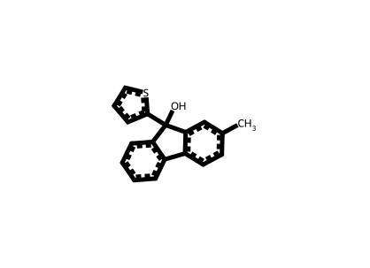 Cc1ccc2c(c1)C(O)(c1cccs1)c1ccccc1-2